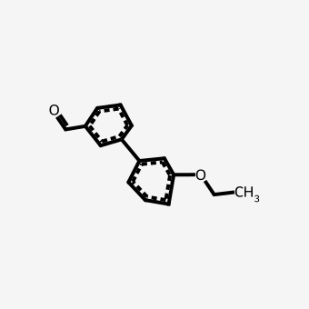 CCOc1cccc(-c2cccc(C=O)c2)c1